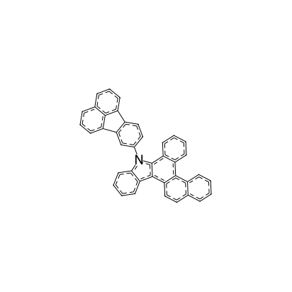 c1cc2c3c(cccc3c1)-c1cc(-n3c4ccccc4c4c5ccc6ccccc6c5c5ccccc5c43)ccc1-2